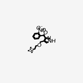 C[Si](C)(C)CCOCc1c[nH]nc1C(=O)c1ccccc1[N+](=O)[O-]